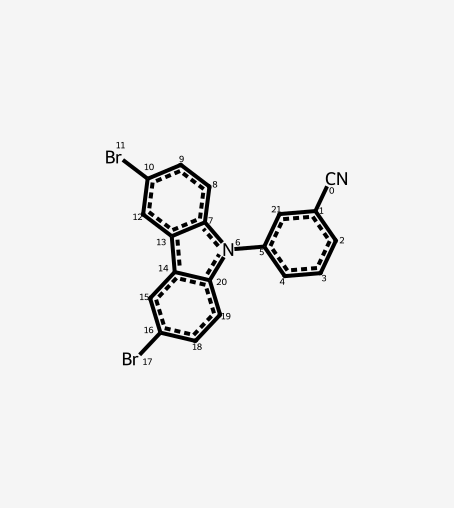 N#Cc1cccc(-n2c3ccc(Br)cc3c3cc(Br)ccc32)c1